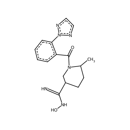 CC1CCC(C(=N)NO)CN1C(=O)c1ccccc1-n1nccn1